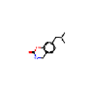 CC(C)Cc1ccc2c(c1)OC(=O)NC2